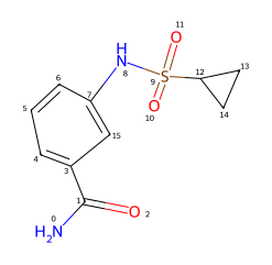 NC(=O)c1cccc(NS(=O)(=O)C2CC2)c1